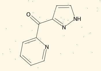 O=C(c1ccccn1)c1cc[nH]n1